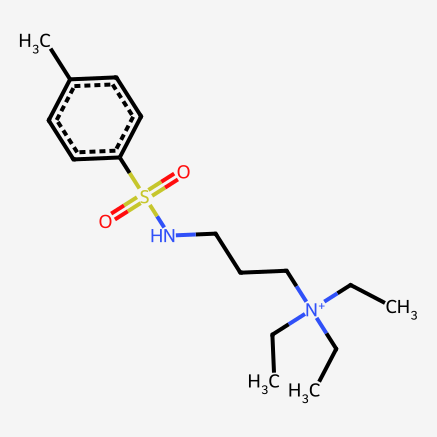 CC[N+](CC)(CC)CCCNS(=O)(=O)c1ccc(C)cc1